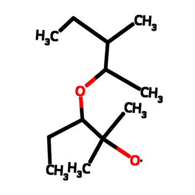 CCC(C)C(C)OC(CC)C(C)(C)[O]